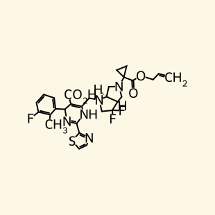 C=CCOC(=O)C1(N2C[C@@H]3[C@H](C2)N(CC2=C(C(=O)O)C(c4cccc(F)c4C)N=C(c4nccs4)N2)CC3(F)F)CC1